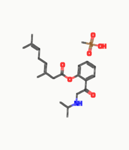 CC(C)=CCC=C(C)CC(=O)Oc1ccccc1C(=O)CNC(C)C.CS(=O)(=O)O